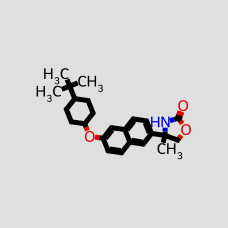 CC1(c2ccc3cc(OC4CCC(C(C)(C)C)CC4)ccc3c2)COC(=O)N1